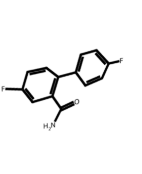 NC(=O)c1cc(F)ccc1-c1ccc(F)cc1